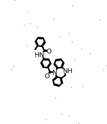 Cc1ccccc1C(=O)Nc1ccc(C(=O)N2c3ccccc3CNc3ccccc32)cc1